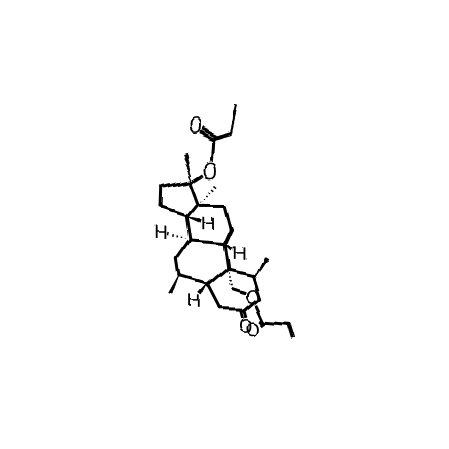 CCC(=O)OC[C@@]12[C@H](CC(=O)C[C@@H]1C)[C@@H](C)C[C@@H]1[C@@H]2CC[C@@]2(C)[C@H]1CC[C@]2(C)OC(=O)CC